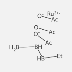 BBBCC.CC(=O)[O-].CC(=O)[O-].CC(=O)[O-].[Ru+3]